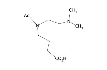 CC(=O)N(CCCC(=O)O)CCN(C)C